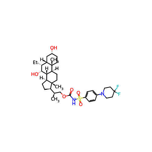 CC[C@H]1[C@@H](O)[C@@H]2[C@H](CC[C@]3(C)[C@@H]([C@H](C)COC(=O)NS(=O)(=O)c4ccc(N5CCC(F)(F)CC5)cc4)CC[C@@H]23)[C@@]2(C)CC[C@@H](O)C[C@@H]12